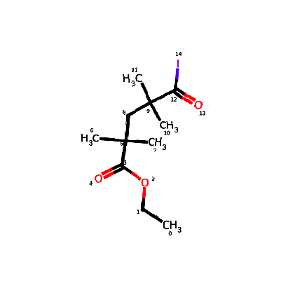 CCOC(=O)C(C)(C)CC(C)(C)C(=O)I